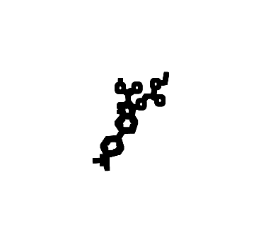 CCOC(=O)COc1c(C(=O)OC)sc2cc(-c3ccc(N(C)C)cc3)ccc12